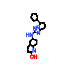 Oc1ccc2cc(Nc3nc4cccc(-c5ccccc5)n4n3)ccc2n1